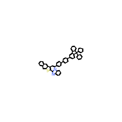 c1ccc(C2(c3ccccc3)c3ccccc3-c3cc(-c4ccc(-c5ccc(-c6cc7c8cc9ccccc9cc8sc7c7nc8ccccc8n67)cc5)cc4)ccc32)cc1